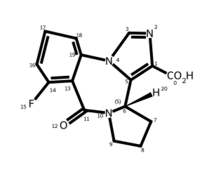 O=C(O)c1ncn2c1[C@@H]1CCCN1C(=O)c1c(F)cccc1-2